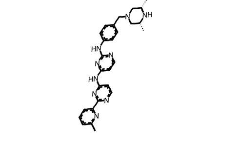 Cc1cccc(-c2nccc(Nc3ccnc(Nc4ccc(CN5C[C@@H](C)N[C@@H](C)C5)cc4)n3)n2)n1